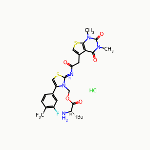 CCC(C)[C@H](N)C(=O)OCn1c(-c2ccc(C(F)(F)F)c(F)c2)cs/c1=N\C(=O)Cc1csc2c1c(=O)n(C)c(=O)n2C.Cl